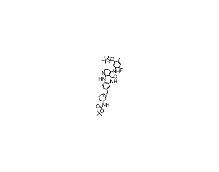 Cc1cc(F)c(Nc2ccnc3c2C(=O)Nc2cc(CN4CCC[C@@H](NC(=O)OC(C)(C)C)C4)ccc2N3)cc1O[Si](C)(C)C(C)(C)C